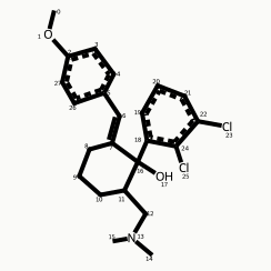 COc1ccc(C=C2CCCC(CN(C)C)C2(O)c2cccc(Cl)c2Cl)cc1